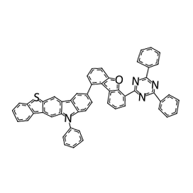 c1ccc(-c2nc(-c3ccccc3)nc(-c3cccc4c3oc3cccc(-c5ccc6c(c5)c5cc7sc8ccccc8c7cc5n6-c5ccccc5)c34)n2)cc1